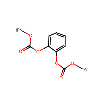 CC(C)OC(=O)Oc1ccccc1OC(=O)OC(C)C